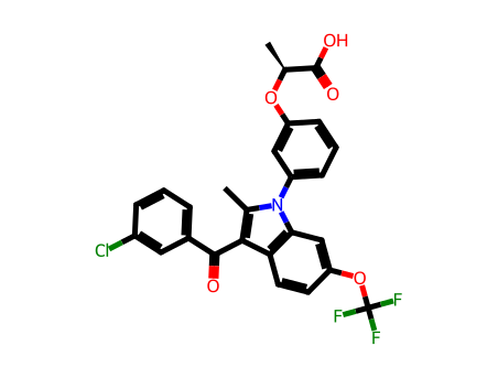 Cc1c(C(=O)c2cccc(Cl)c2)c2ccc(OC(F)(F)F)cc2n1-c1cccc(O[C@@H](C)C(=O)O)c1